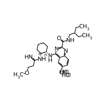 CCC(CC)CNC(=O)c1nc(N[C@H]2CCCC[C@H]2NC(=N)CCOC)c2cc(C)ccc2n1.Cl.Cl